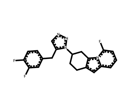 Fc1ccc(Cc2cnnn2C2CCc3[c]c4cccc(F)n4c3C2)cc1F